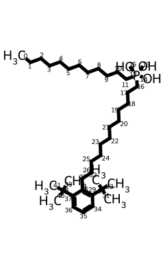 CCCCCCCCCCCCP(O)(O)(O)CCCCCCCCCCCCc1c(C(C)(C)C)cccc1C(C)(C)C